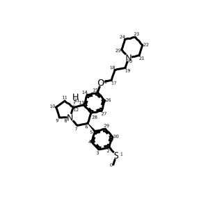 CSc1ccc([C@H]2CN3CCC[C@H]3c3cc(OCCCN4CCCCC4)ccc32)cc1